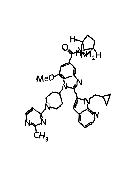 COc1cc(C(=O)N2C[C@H]3CC[C@@H]2[C@@H]3N)cc2nc(-c3cc4cccnc4n3CC3CC3)n(C3CCN(c4ccnc(C)n4)CC3)c12